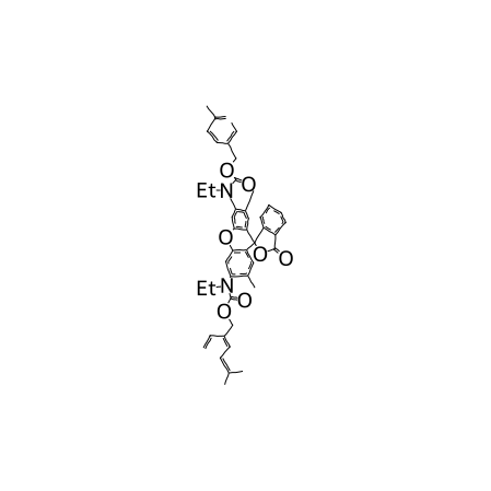 C=C/C(=C\C=C(C)C)COC(=O)N(CC)c1cc2c(cc1C)C1(OC(=O)c3ccccc31)c1cc(C)c(N(CC)C(=O)OCC(/C=C\C(=C)C)=C/C)cc1O2